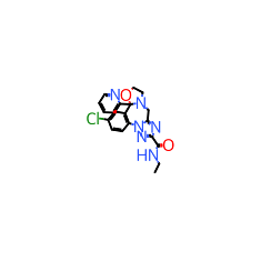 CCNC(=O)c1nc2n(n1)-c1ccc(Cl)cc1C1(c3ccccn3)OCCN1C2